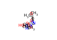 COc1ccc(C23CCC(CN(c4cc(-c5coc(C(C)C)n5)ccn4)C(=O)[C@H]4CC[C@H](OC(=O)NCCC(C)(C)O)CC4)(CC2)CC3)cc1C